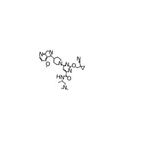 COc1ccnc2c1C(C1CCN(c3cc(C(=O)N[C@H](C)CN(C)C)nc(OCC4(C#N)CC4)n3)CC1)=NC2